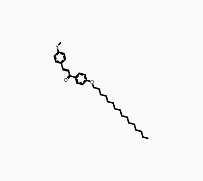 CCCCCCCCCCCCCCCCOc1ccc(C(=O)C=Cc2ccc(SC)cc2)cc1